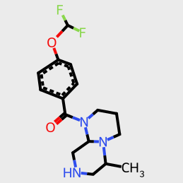 CC1CNCC2N(C(=O)c3ccc(OC(F)F)cc3)CCCN12